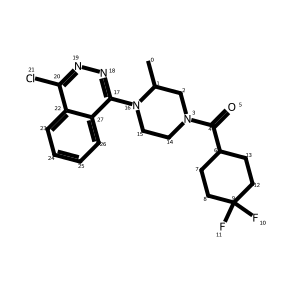 CC1CN(C(=O)C2CCC(F)(F)CC2)CCN1c1nnc(Cl)c2ccccc12